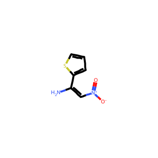 N/C(=C/[N+](=O)[O-])c1cccs1